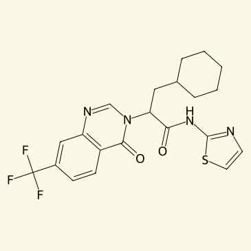 O=C(Nc1nccs1)C(CC1CCCCC1)n1cnc2cc(C(F)(F)F)ccc2c1=O